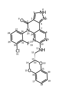 O=c1c2c[nH]nc2c2cnc(NC[C@H]3COc4ccccc4O3)nc2n1-c1cccc(Cl)c1F